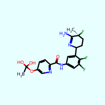 BC(O)(O)Oc1ccc(C(=O)Nc2cc(F)c(F)c(C3CC[C@](C)(F)C(N)=N3)c2)nc1